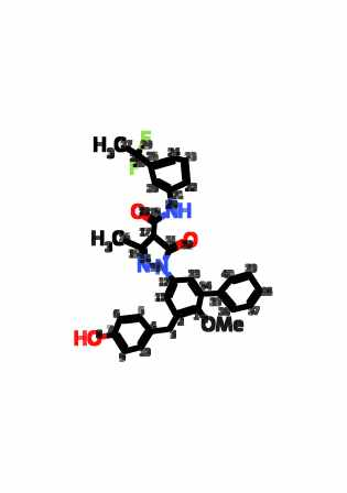 COc1c(Cc2ccc(O)cc2)cc(N2N=C(C)C(C(=O)Nc3cccc(C(C)(F)F)c3)C2=O)cc1-c1ccccc1